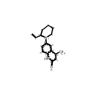 C=CC1CCCCN1c1ccc2[nH]c(=O)cc(C(F)(F)F)c2c1